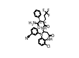 N#Cc1cccc(N2c3cccc(Cl)c3NC(=O)CC2NC(=O)[C@H](CCC(F)(F)F)[C@@H](C(N)=O)c2ccccc2)c1